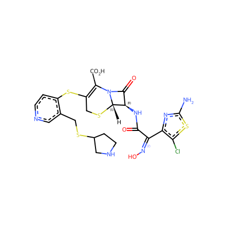 Nc1nc(/C(=N/O)C(=O)N[C@@H]2C(=O)N3C(C(=O)O)=C(Sc4ccncc4CSC4CCNC4)CS[C@@H]23)c(Cl)s1